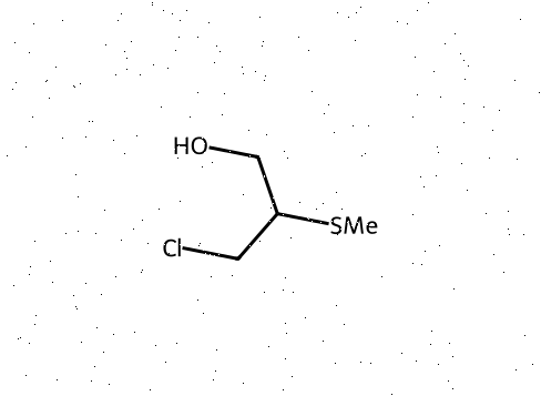 CSC(CO)CCl